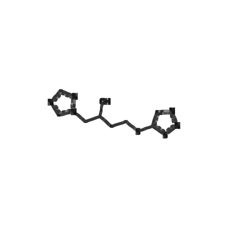 OC(CCSc1cnns1)Cn1cncn1